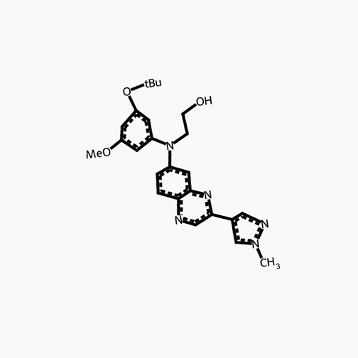 COc1cc(OC(C)(C)C)cc(N(CCO)c2ccc3ncc(-c4cnn(C)c4)nc3c2)c1